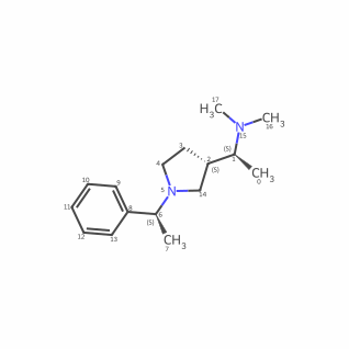 C[C@@H]([C@H]1CCN([C@@H](C)c2ccccc2)C1)N(C)C